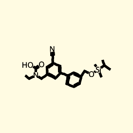 CCN(Cc1cc(C#N)cc(-c2cccc(CO[Si](C)(C)C(C)C)c2)c1)C(=O)O